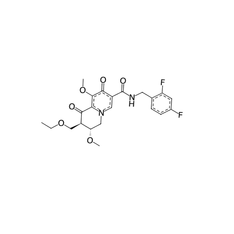 CCOC[C@H]1C(=O)c2c(OC)c(=O)c(C(=O)NCc3ccc(F)cc3F)cn2C[C@@H]1OC